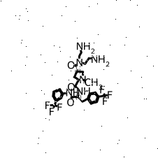 CN1C[C@@H](C(=O)N(CCN)CCN)CC1C(=O)N[C@@H](Cc1ccc(C(F)(F)F)cc1)C(=O)Nc1cccc(C(F)(F)F)c1